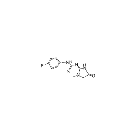 CN1CC(=O)NC1=NC(=S)Nc1ccc(F)cc1